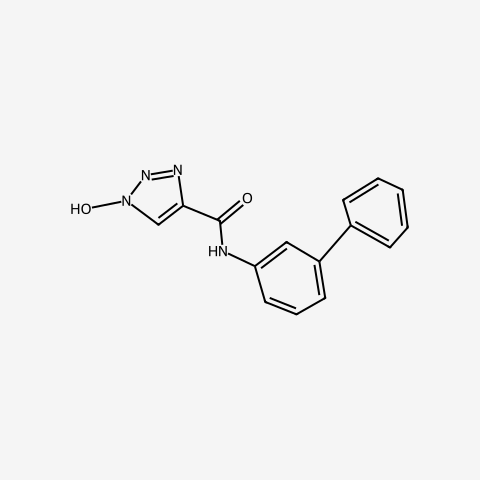 O=C(Nc1cccc(-c2ccccc2)c1)c1cn(O)nn1